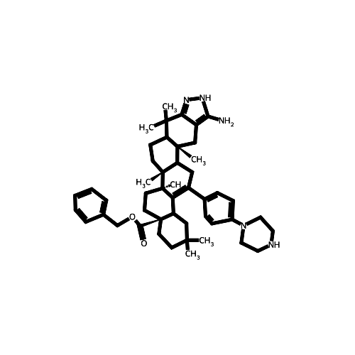 CC1(C)CC[C@]2(C(=O)OCc3ccccc3)CC[C@]3(C)C(=C(c4ccc(N5CCNCC5)cc4)CC4[C@@]5(C)Cc6c(n[nH]c6N)C(C)(C)C5CC[C@]43C)C2C1